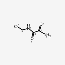 NC(=O)C(=O)NCCl